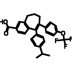 CC(C)c1ccc(C2=C(c3ccc(OC(F)(F)F)cc3)CCCc3cc(C(=O)O)ccc32)cc1